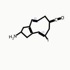 NC1CC2=C(/C=C/CC(=C=O)C/C(I)=C/2)C1